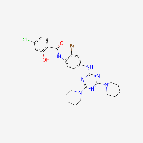 O=C(Nc1ccc(Nc2nc(N3CCCCC3)nc(N3CCCCC3)n2)cc1Br)c1ccc(Cl)cc1O